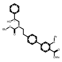 COC(=O)c1ccc(-c2ccc(CCN(C[C@@H](O)c3ccccc3)C(=O)OC(C)(C)C)cc2)cc1SC(C)C